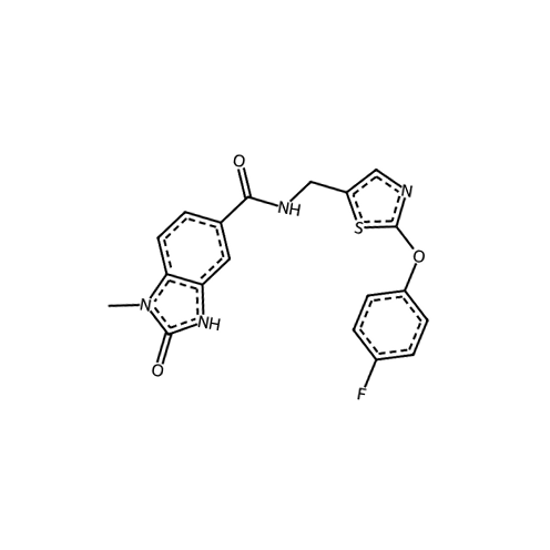 Cn1c(=O)[nH]c2cc(C(=O)NCc3cnc(Oc4ccc(F)cc4)s3)ccc21